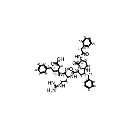 N=C(N)NCC[C@H](NC(=O)C1C[C@@H](Cc2ccccc2)[C@@H]2CCC(NC(=O)Cc3ccccc3)C(=O)N12)C(=O)NC(CCc1ccccc1)CC(=O)O